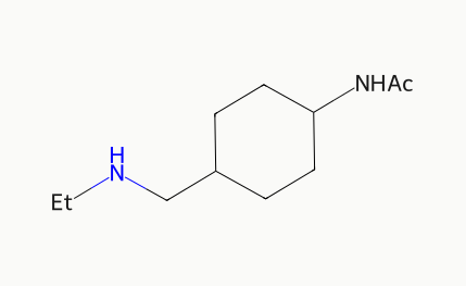 CCNCC1CCC(NC(C)=O)CC1